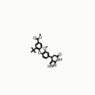 COC(=O)c1ccc(Oc2ccc(C3CC(=O)Nc4n[nH]cc43)cc2OC)c(C(C)(C)C)c1